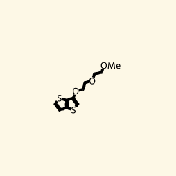 COCCOCCOc1csc2ccsc12